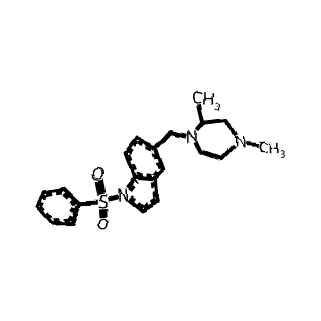 CC1CN(C)CCN1Cc1ccc2c(ccn2S(=O)(=O)c2ccccc2)c1